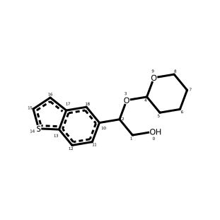 OCC(OC1CCCCO1)c1ccc2sccc2c1